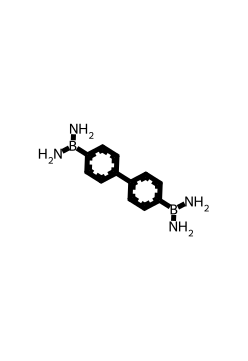 NB(N)c1ccc(-c2ccc(B(N)N)cc2)cc1